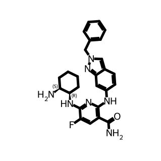 NC(=O)c1cc(F)c(N[C@@H]2CCCC[C@@H]2N)nc1Nc1ccc2cn(Cc3ccccc3)nc2c1